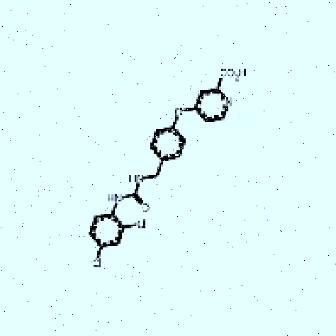 O=C(NCc1ccc(Oc2ccnc(C(=O)O)c2)cc1)Nc1ccc(Cl)cc1Cl